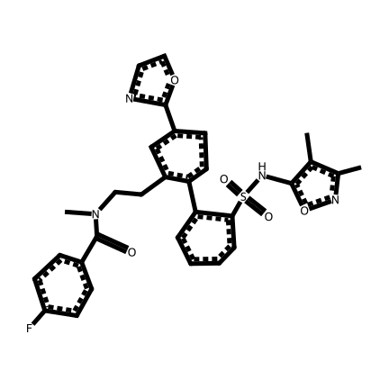 Cc1noc(NS(=O)(=O)c2ccccc2-c2ccc(-c3ncco3)cc2CCN(C)C(=O)c2ccc(F)cc2)c1C